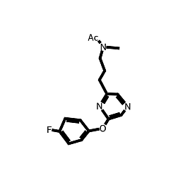 CC(=O)N(C)CCCc1cncc(Oc2ccc(F)cc2)n1